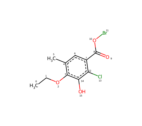 CCOc1c(C)cc(C(=O)OBr)c(Cl)c1O